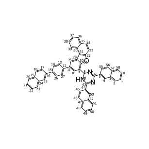 c1ccc2cc(C3=NC(c4cc(-c5ccc(-c6ccc7ccccc7c6)cc5)cc5c4oc4ccc6ccccc6c45)NC(c4ccc5ccccc5c4)=N3)ccc2c1